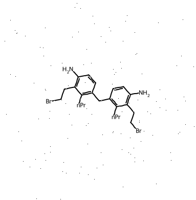 CCCc1c(Cc2ccc(N)c(CCBr)c2CCC)ccc(N)c1CCBr